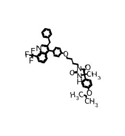 CC(C)Oc1ccc(C2(C)NC(=O)N(CCCCOc3ccc(-c4c(Cc5ccccc5)cnc5c(C(F)(F)F)cccc45)cc3)C2=O)cc1